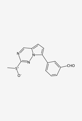 C[S+]([O-])c1ncc2ccc(-c3cccc(C=O)c3)n2n1